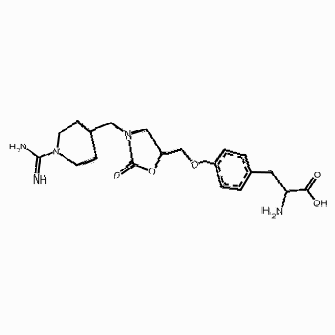 N=C(N)N1CCC(CN2CC(COc3ccc(CC(N)C(=O)O)cc3)OC2=O)CC1